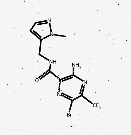 Cn1nccc1CNC(=O)c1nc(Br)c(C(F)(F)F)nc1N